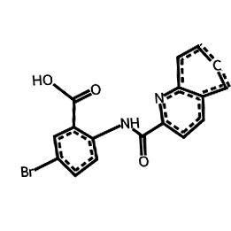 O=C(Nc1ccc(Br)cc1C(=O)O)c1ccc2ccccc2n1